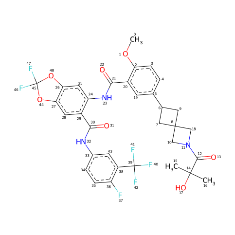 COc1ccc(C2CC3(C2)CN(C(=O)C(C)(C)O)C3)cc1C(=O)Nc1cc2c(cc1C(=O)Nc1ccc(F)c(C(F)(F)F)c1)OC(F)(F)O2